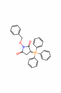 O=C1CC(=P(c2ccccc2)(c2ccccc2)c2ccccc2)C(=O)N1OCc1ccccc1